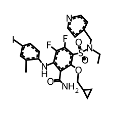 CCN(Cc1ccncc1)S(=O)(=O)c1c(F)c(F)c(Nc2ccc(I)cc2C)c(C(N)=O)c1OCC1CC1